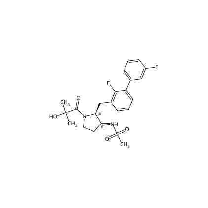 CC(C)(O)C(=O)N1CC[C@H](NS(C)(=O)=O)[C@@H]1Cc1cccc(-c2cccc(F)c2)c1F